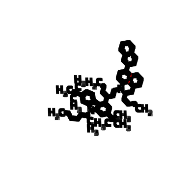 C=C/C=C\C=C(/C)n1c2cc(C(C)(C)C)ccc2c2c(C(/C=C/N(C(/C=C\C=C)=C\c3ccccc3)c3ccc(-c4ccc5ccccc5c4)cc3)=C/C=C)cc(C(C)(C)C)cc21